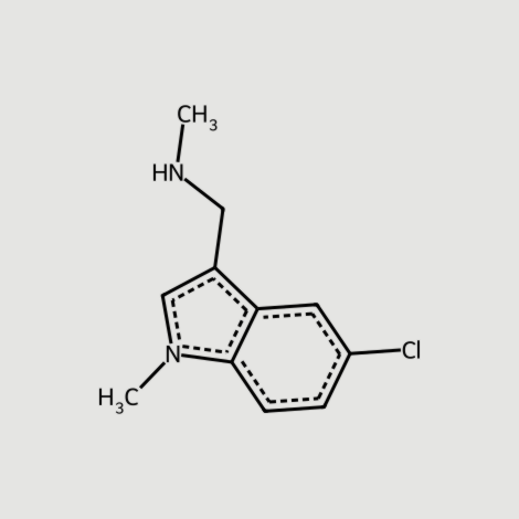 CNCc1cn(C)c2ccc(Cl)cc12